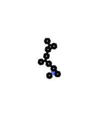 c1ccc(C(c2ccc(-c3ccc4c(c3)-c3ccccc3C4c3ccccc3)cc2)c2ccc(-c3ccc4c5ccccc5n(-c5ccccc5)c4c3)cc2)cc1